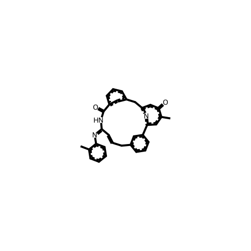 Cc1ccccc1/N=C1\C=C\Cc2cccc(c2)-c2cc(C)c(=O)cc(n2)Cc2cccc(c2)C(=O)N1